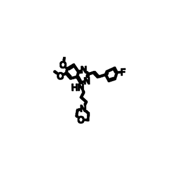 COc1cc2nc(C=Cc3ccc(F)cc3)nc(NCCCN3CCOCC3)c2cc1OC